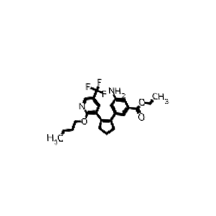 CCCCOc1ncc(C(F)(F)F)cc1C1=C(c2cc(N)cc(C(=O)OCC)c2)CCC1